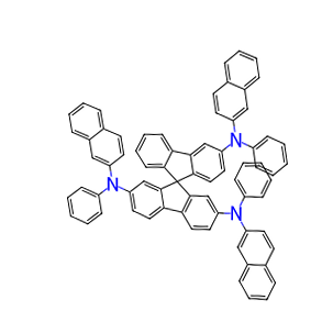 c1ccc(N(c2ccc3c(c2)-c2ccccc2C32c3cc(N(c4ccccc4)c4ccc5ccccc5c4)ccc3-c3ccc(N(c4ccccc4)c4ccc5ccccc5c4)cc32)c2ccc3ccccc3c2)cc1